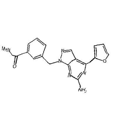 CNC(=O)c1cccc(Cn2ncc3c(-c4ccco4)nc(N)nc32)c1